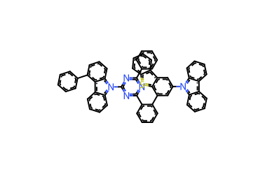 c1ccc(-c2nc(-c3ccccc3-c3cc(-n4c5ccccc5c5ccccc54)cc4c3sc3ccccc34)nc(-n3c4ccccc4c4c(-c5ccccc5)cccc43)n2)cc1